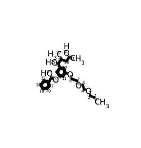 CCCOCCOCCOc1cc(OC(O)c2ccccc2)cc(C(O)C(C)CC(C)O)c1